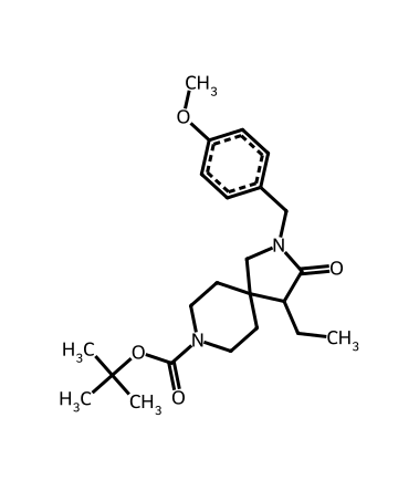 CCC1C(=O)N(Cc2ccc(OC)cc2)CC12CCN(C(=O)OC(C)(C)C)CC2